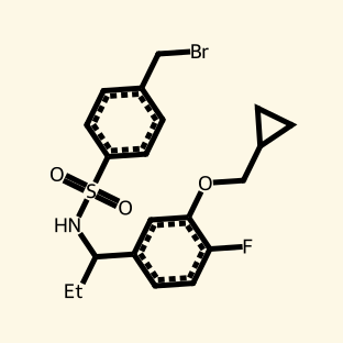 CCC(NS(=O)(=O)c1ccc(CBr)cc1)c1ccc(F)c(OCC2CC2)c1